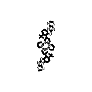 CC(C)(C)c1ccc2c(oc3nc4nccnc4n32)c1C1=CB2N3C=CC=CB3N3C=CC(c4c(C(C)(C)C)ccc5c4oc4nc6nccnc6n45)=CB3N3C=CC=CB3N2C=C1